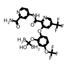 BC(B)(O)Oc1cc(OC(F)(F)F)ccc1Oc1cc(C(F)(F)F)cnc1C(=O)Nc1ccnc(C(N)=O)c1